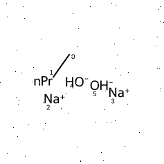 CCCC.[Na+].[Na+].[OH-].[OH-]